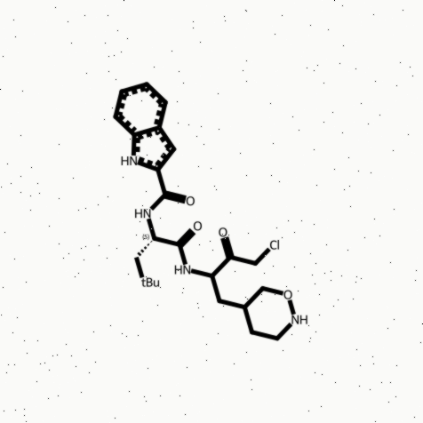 CC(C)(C)C[C@H](NC(=O)c1cc2ccccc2[nH]1)C(=O)NC(CC1CCNOC1)C(=O)CCl